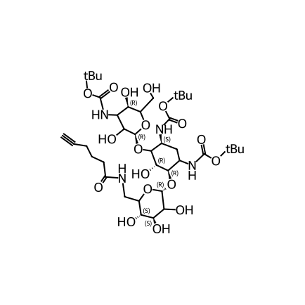 C#CCCCC(=O)NCC1O[C@H](O[C@@H]2C(NC(=O)OC(C)(C)C)C[C@H](NC(=O)OC(C)(C)C)C(O[C@@H]3OC(CO)[C@H](O)C(NC(=O)OC(C)(C)C)C3O)[C@H]2O)C(O)[C@@H](O)[C@@H]1O